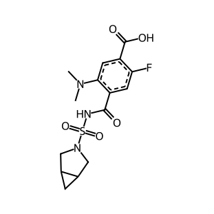 CN(C)c1cc(C(=O)O)c(F)cc1C(=O)NS(=O)(=O)N1CC2CC2C1